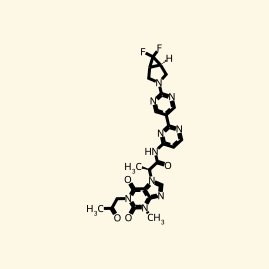 CC(=O)Cn1c(=O)c2c(ncn2[C@@H](C)C(=O)Nc2ccnc(-c3cnc(N4CC5[C@H](C4)C5(F)F)nc3)n2)n(C)c1=O